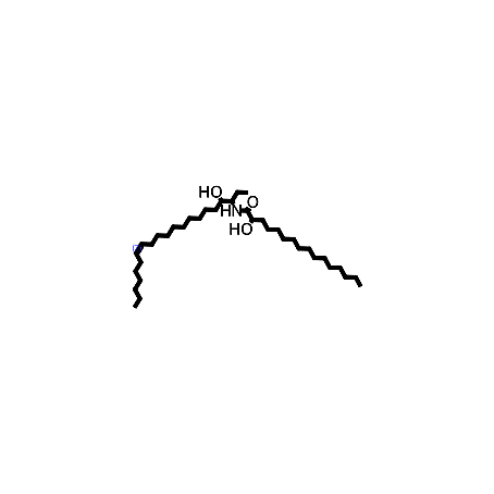 CCCCCC/C=C\CCCCCCCCCC(O)C(CC)NC(=O)C(O)CCCCCCCCCCCCCC